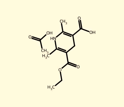 CC(=O)O.CCOC(=O)C1=C(C)NC(C)=C(C(=O)O)C1